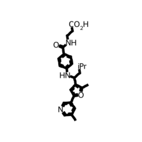 Cc1cncc(-c2cc(C(CC(C)C)Nc3ccc(C(=O)NCCC(=O)O)cc3)c(C)o2)c1